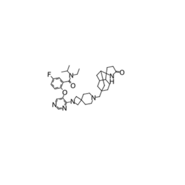 CCN(C(=O)c1cc(F)ccc1Oc1cncnc1N1CC2(CCN(CC34CCC5C(CC(C3)C53CCC(=O)N3)C4)CC2)C1)C(C)C